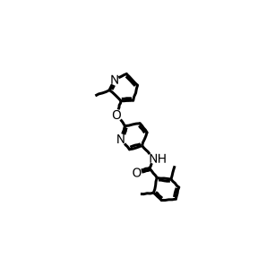 Cc1cccc(C)c1C(=O)Nc1ccc(Oc2cccnc2C)nc1